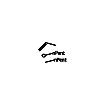 C=CC.CCCCCC.CCCCC[O]